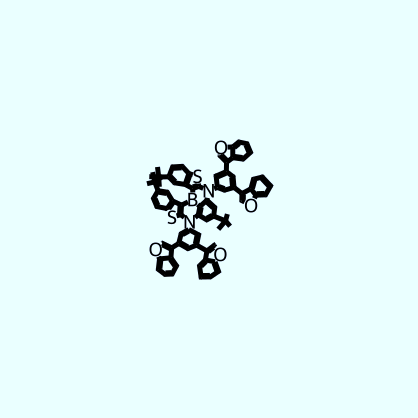 CC(C)(C)c1cc2c3c(c1)N(c1cc(-c4coc5ccccc45)cc(-c4coc5ccccc45)c1)c1sc4ccc(C(C)(C)C)cc4c1B3c1c(sc3ccc(C(C)(C)C)cc13)N2c1cc(-c2coc3ccccc23)cc(-c2coc3ccccc23)c1